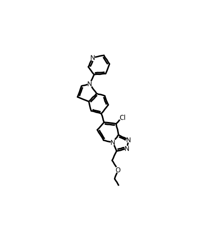 CCOCc1nnc2c(Cl)c(-c3ccc4c(ccn4-c4cccnc4)c3)ccn12